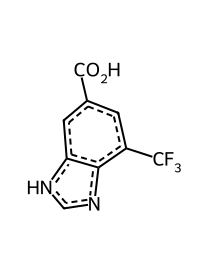 O=C(O)c1cc(C(F)(F)F)c2nc[nH]c2c1